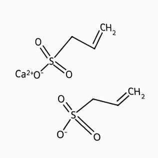 C=CCS(=O)(=O)[O-].C=CCS(=O)(=O)[O-].[Ca+2]